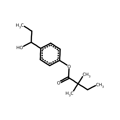 CCC(O)c1ccc(OC(=O)C(C)(C)CC)cc1